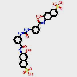 O=C(Nc1cccc(C(=O)N=C2CC3=CC=C(S(=O)(=O)O)CC3C=C2O)c1)Nc1cccc(C(=O)N=C2CC3=CC=C(S(=O)(=O)O)CC3C=C2O)c1